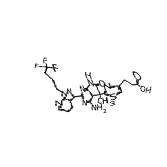 C[C@]1(c2nc(CCC(=O)O)cs2)C(=O)Nc2nc(-c3nn(CCCC(F)(F)F)c4ncccc34)nc(N)c21